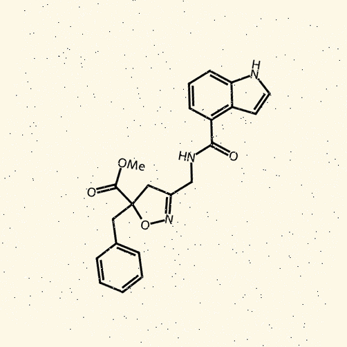 COC(=O)C1(Cc2ccccc2)CC(CNC(=O)c2cccc3[nH]ccc23)=NO1